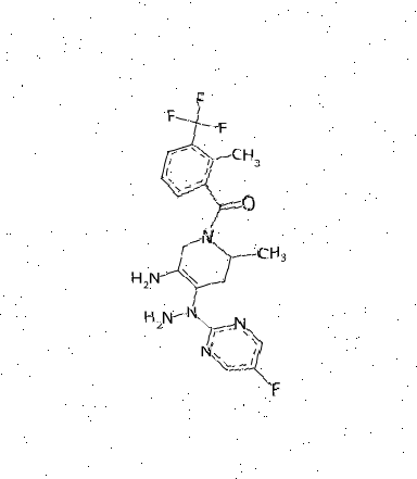 Cc1c(C(=O)N2CC(N)=C(N(N)c3ncc(F)cn3)CC2C)cccc1C(F)(F)F